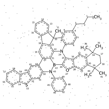 CCCCc1ccc2c(c1)C1(C)c3ccccc3-c3cc4c5c(c31)N2c1c(oc2cc3c(cc12)C(C)(C)CCC3(C)C)B5N(c1ccccc1)c1cc2sc3ccccc3c2cc1-4